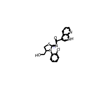 O=C(/N=C1\SCC(CO)N1c1ccccc1Cl)c1c[nH]c2ncccc12